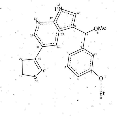 CCOc1cccc(C(OC)c2c[nH]c3ncc(C4=CSCC4)cc23)c1